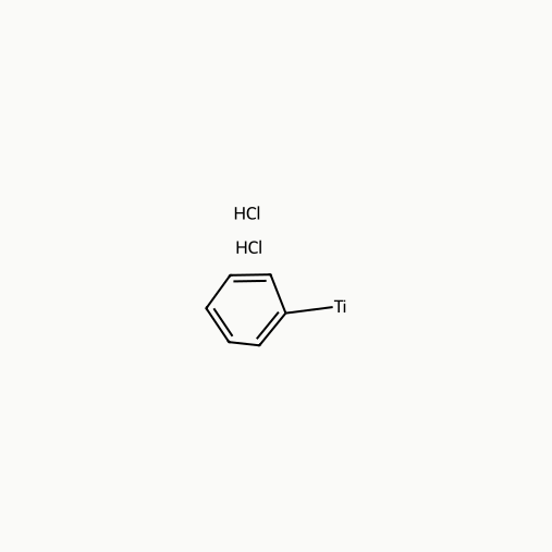 Cl.Cl.[Ti][c]1ccccc1